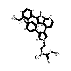 CN(CCn1cc(-c2ccnc3[nH]c(-c4cccc(CO)c4)cc23)c(-c2ccc(N)cc2)n1)C(=O)OC(C)(C)C